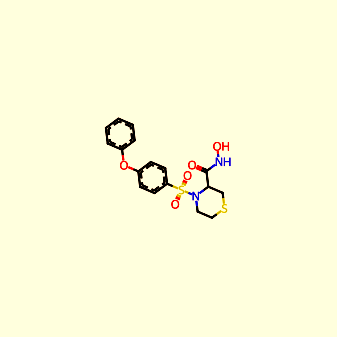 O=C(NO)C1CSCCN1S(=O)(=O)c1ccc(Oc2ccccc2)cc1